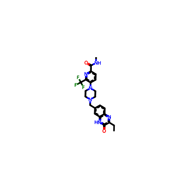 CCc1nc2ccc(CN3CCN(c4ccc(C(=O)NC)nc4C(F)(F)F)CC3)cc2[nH]c1=O